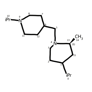 CC(C)C1CCN(CC2CCN(C(C)C)CC2)[C@@H](C)C1